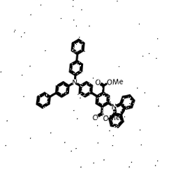 COC(=O)c1cc(-n2c3ccccc3c3ccccc32)c(C(=O)OC)cc1-c1ccc(N(c2ccc(-c3ccccc3)cc2)c2ccc(-c3ccccc3)cc2)cc1